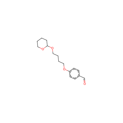 O=Cc1ccc(OCCCCOC2CCCCO2)cc1